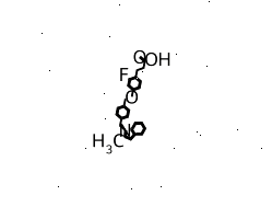 Cc1cc2ccccc2n1Cc1ccc(COc2ccc(CCC(=O)O)c(F)c2)cc1